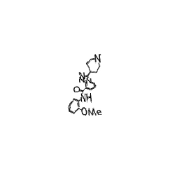 COc1ccccc1NC(=O)c1cccn2c(C3CCN(C)CC3)nnc12